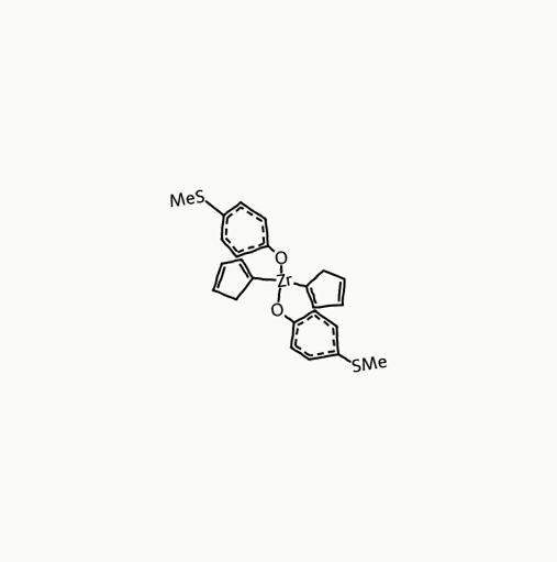 CSc1ccc([O][Zr]([O]c2ccc(SC)cc2)([C]2=CC=CC2)[C]2=CC=CC2)cc1